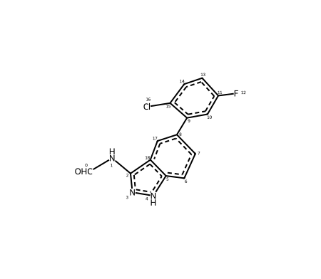 O=CNc1n[nH]c2ccc(-c3cc(F)ccc3Cl)cc12